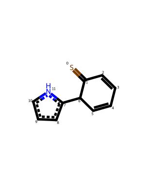 S=C1[C]=CC=CC1c1ccc[nH]1